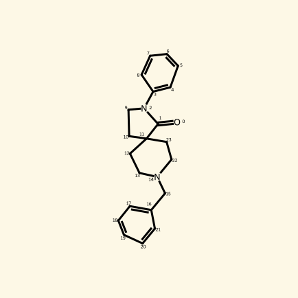 O=C1N(c2ccccc2)CCC12CCN(Cc1ccccc1)CC2